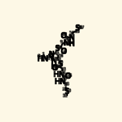 CCNN1N=C(SC(=O)CNC(=O)NCCSC)C=C(SC(=O)CNC(=O)NCCSC)N1